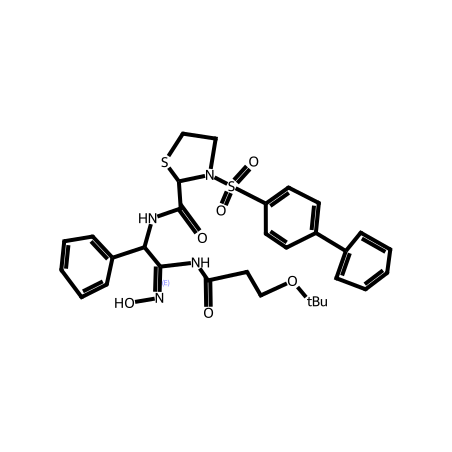 CC(C)(C)OCCC(=O)N/C(=N/O)C(NC(=O)C1SCCN1S(=O)(=O)c1ccc(-c2ccccc2)cc1)c1ccccc1